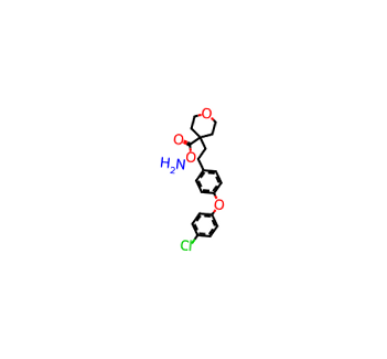 NOC(=O)C1(CCc2ccc(Oc3ccc(Cl)cc3)cc2)CCOCC1